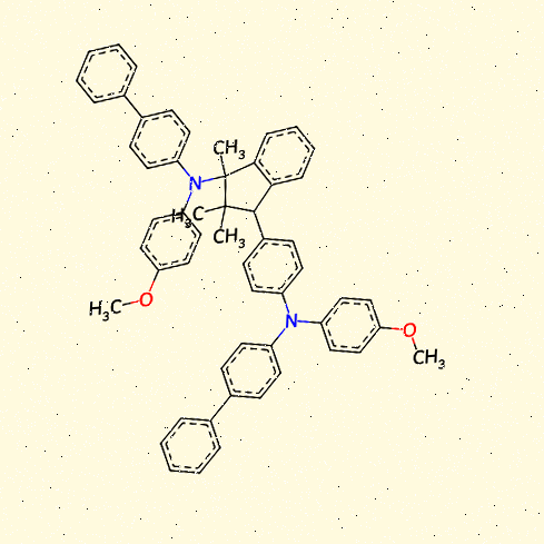 COc1ccc(N(c2ccc(-c3ccccc3)cc2)c2ccc(C3c4ccccc4C(C)(N(c4ccc(OC)cc4)c4ccc(-c5ccccc5)cc4)C3(C)C)cc2)cc1